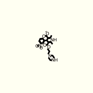 COC(=O)C1=C(C)NC(C)=C(C(=O)OCCCN2CCNCC2)C1c1cccc([N+](=O)[O-])c1